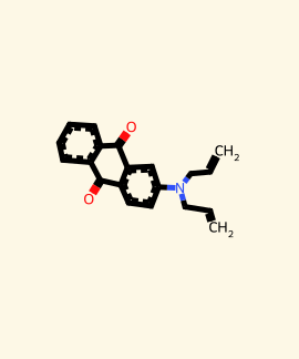 C=CCN(CC=C)c1ccc2c(c1)C(=O)c1ccccc1C2=O